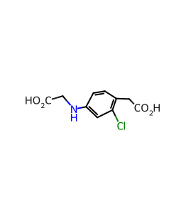 O=C(O)CNc1ccc(CC(=O)O)c(Cl)c1